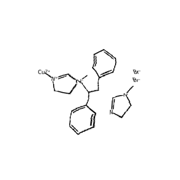 CN1C=NCC1.C[N+]1(C(Cc2ccccc2)c2ccccc2)C=[N+]([Cu+2])CC1.[Br-].[Br-]